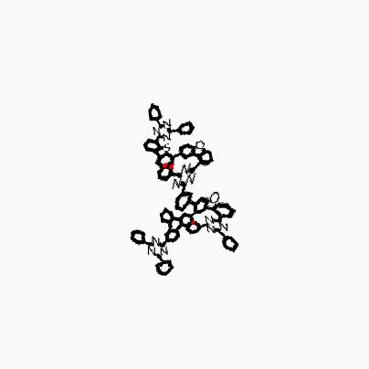 c1ccc(-c2nc(-c3ccccc3)nc(-c3ccc4c5ccc(-c6cc7c(cc6-c6cccc(-c8nc(-c9ccccc9)nc(-c9cccc%10oc%11ccc(-c%12cccc%13c%12sc%12c(-c%14nc(-c%15ccccc%15)nc(-c%15ccccc%15)n%14)cccc%12%13)cc%11c9%10)n8)c6)oc6cccc(-c8nc(-c9ccccc9)nc(-c9ccccc9)n8)c67)cc5c5ccccc5c4c3)n2)cc1